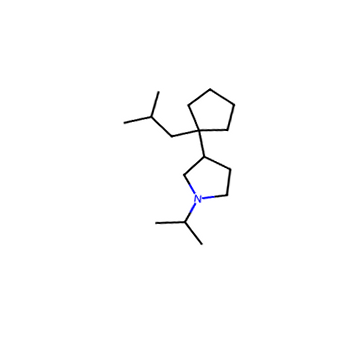 CC(C)CC1(C2CCN(C(C)C)C2)CCCC1